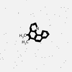 Cc1c(C)c2ccc3ccccc3c2c2ncccc12